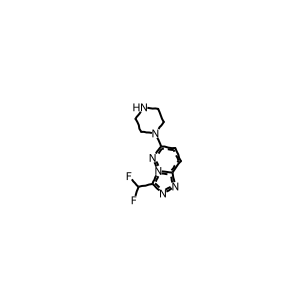 FC(F)c1nnc2ccc(N3CCNCC3)nn12